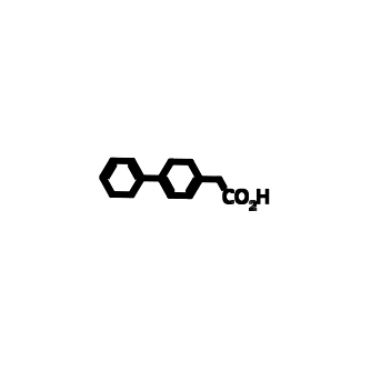 O=C(O)CC1=CC=C(C2=CC=CCC2)CC1